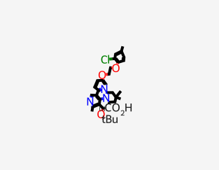 Cc1ccc(OCCOc2ccc(-c3cnc(C)c([C@H](OC(C)(C)C)C(=O)O)c3N3CCC(C)(C)CC3)nc2)c(Cl)c1